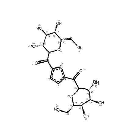 O=C(c1ccc(C(=O)C2O[C@H](CO)[C@H](O)[C@H](O)[C@H]2O)o1)C1O[C@H](CO)[C@H](O)[C@H](O)[C@H]1O